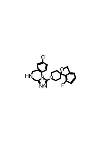 Fc1cccc2c1C1(CCN(c3nnc4n3-c3ccc(Cl)cc3CNC4)CC1)OC2